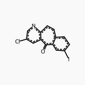 O=c1c2cc(I)ccc2ccc2ncc(Cl)cc12